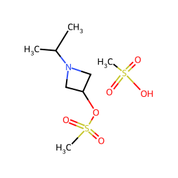 CC(C)N1CC(OS(C)(=O)=O)C1.CS(=O)(=O)O